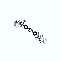 CCC(C(=O)Nc1ccc(N2CCN(c3ccc(B4OC(C)(C)C(C)(C)O4)cc3)CC2)cc1)C(C)O